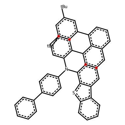 CC(C)(C)c1cc(-c2cccc3cccc(-c4ccccc4N(c4ccc(-c5ccccc5)cc4)c4cccc5c4sc4ccccc45)c23)cc(C(C)(C)C)c1